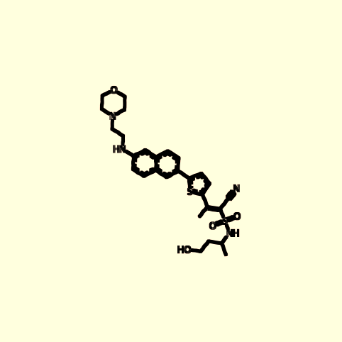 C/C(=C(/C#N)S(=O)(=O)NC(C)CCO)c1ccc(-c2ccc3cc(NCCN4CCOCC4)ccc3c2)s1